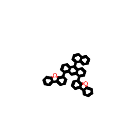 c1ccc2c(-c3c4cccc(-c5cccc6c5oc5ccccc56)c4cc4c(-c5cccc6c5oc5ccccc56)cccc34)cccc2c1